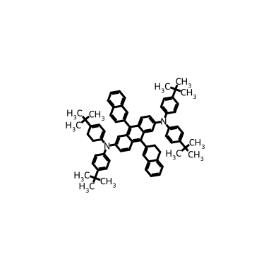 CC(C)(C)C1=CC=C(N(c2ccc(C(C)(C)C)cc2)c2ccc3c(C4=Cc5ccccc5CC4)c4cc(N(c5ccc(C(C)(C)C)cc5)c5ccc(C(C)(C)C)cc5)ccc4c(-c4ccc5ccccc5c4)c3c2)CC1